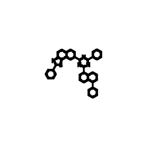 c1ccc(-c2nc(-c3ccc4ccc5nc(-c6ccccc6)sc5c4c3)nc(-c3cccc4c(-c5ccccc5)cccc34)n2)cc1